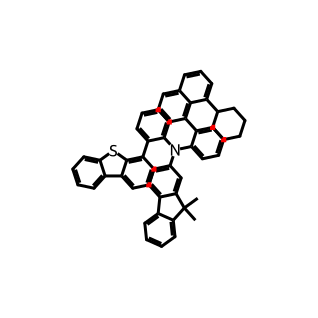 CC1(C)c2ccccc2-c2ccc(N(c3ccccc3-c3cccc4c3sc3ccccc34)c3ccccc3-c3cccc4cccc(C5CCCCC5)c34)cc21